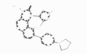 Cc1nn(C)cc1-n1c(=O)n(C)c2cnc3ccc(-c4cnc(N5CCCC5)nc4)cc3c21